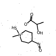 CC(O)C(=O)[O-].C[N+]1(S)CCC(N=O)CC1